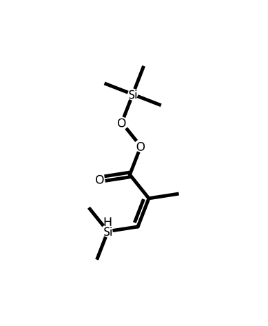 CC(=C[SiH](C)C)C(=O)OO[Si](C)(C)C